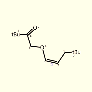 CC(C)(C)C/C=C\OCC(=O)C(C)(C)C